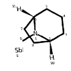 CN1[C@@H]2CCC[C@H]1CC2.[Sb]